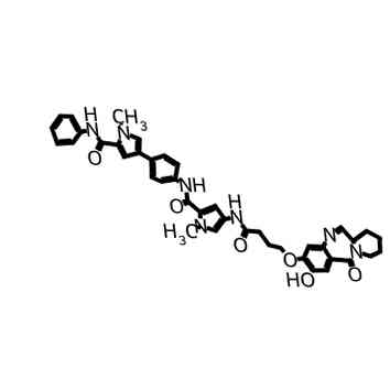 Cn1cc(NC(=O)CCCOc2cc3c(cc2O)C(=O)N2CCCCC2C=N3)cc1C(=O)Nc1ccc(-c2cc(C(=O)Nc3ccccc3)n(C)c2)cc1